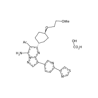 COCCO[C@H]1CC[C@H](c2nc3c(-c4ccc(-c5cscn5)nc4)cnn3c(N)c2C(C)=O)CC1.O=C(O)O